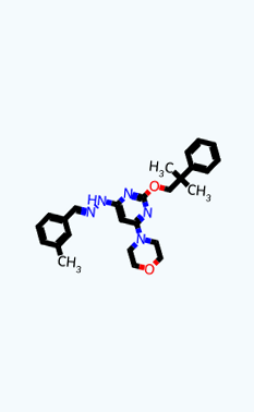 Cc1cccc(C=NNc2cc(N3CCOCC3)nc(OCC(C)(C)c3ccccc3)n2)c1